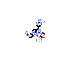 C[C@]1(N2CCc3c(-c4cnc(N)nc4)nc(N4CCOCC4)nc32)CCN(C=O)C1.Cl